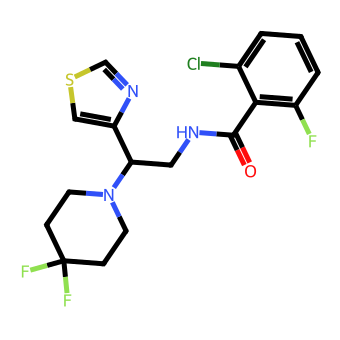 O=C(NCC(c1cscn1)N1CCC(F)(F)CC1)c1c(F)cccc1Cl